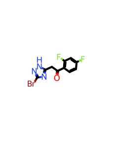 O=C(Cc1nc(Br)n[nH]1)c1ccc(F)cc1F